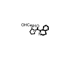 O=CNC1CCCN1C(=O)c1nccc2ccccc12